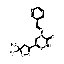 O=C1NN=C(C2=NOC(C(F)(F)F)(C(F)(F)F)C2)CN1/N=C/c1cccnc1